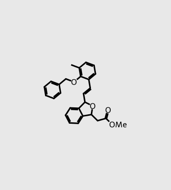 COC(=O)CC1OC(C=Cc2cccc(C)c2OCc2ccccc2)c2ccccc21